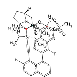 CC(C)[Si](C#Cc1c(F)ccc2cccc(-c3ncc4c(N5C[C@H]6CC[C@@H](C5)N6C(=O)OC(C)(C)C)nc(S(C)(=O)=O)nc4c3F)c12)(C(C)C)C(C)C